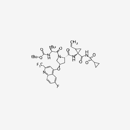 C=CC1C[C@]1(NC(=O)[C@@H]1C[C@@H](Oc2cc(C(F)(F)F)nc3ccc(F)cc23)CN1C(=O)[C@@H](NC(=O)OC(C)(C)C)C(C)(C)C)C(=O)NS(=O)(=O)C1CC1